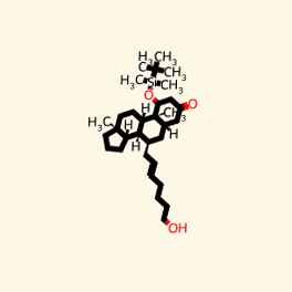 CC(C)(C)[Si](C)(C)OC1CC(=O)C[C@@H]2C[C@@H](C/C=C/CCCCO)[C@H]3[C@@H]4CCC[C@@]4(C)CC[C@@H]3[C@@]12C